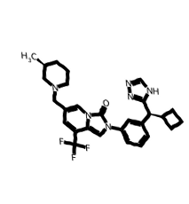 C[C@H]1CCCN(Cc2cc(C(F)(F)F)c3cn(-c4cccc([C@@H](c5nnc[nH]5)C5CCC5)c4)c(=O)n3c2)C1